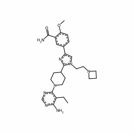 CCc1c(N)ncnc1N1CCC(c2nc(-c3ccc(OC)c(C(N)=O)c3)cn2CCN2CCC2)CC1